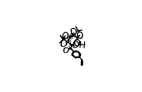 C=Cc1ccc(C(=O)[C@H](O)[C@H]2OC(C)(C)O[C@@H]2[C@@H]2OC(C)(C)OC2=O)cc1